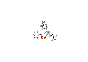 O=C(Cc1c(-c2ccc(Cl)cc2)nn(-c2ccccc2)c1Cl)N1CCCCC1